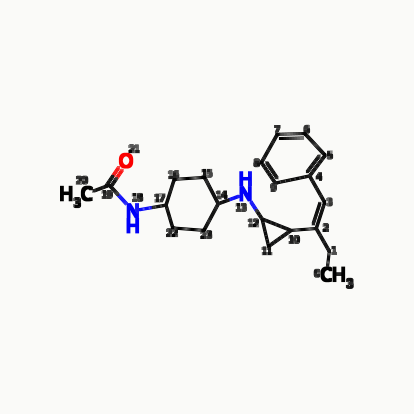 CCC(=Cc1ccccc1)C1CC1NC1CCC(NC(C)=O)CC1